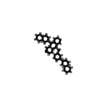 c1cc(Oc2c3ccccc3c(-c3ccc4ccccc4c3)c3cnccc23)cc(-c2ccc3ccccc3c2)c1